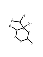 CC1CCC(C(C)C)C(O)(C(Cl)Cl)C1